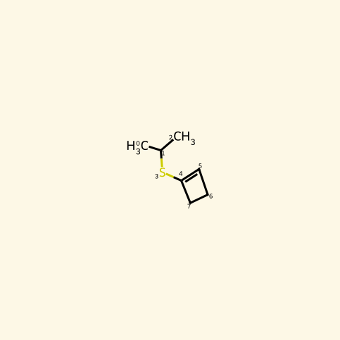 CC(C)SC1=CCC1